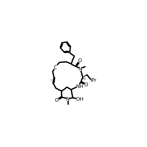 CC(C)C[C@H]1C(=O)NC2CC(C/C=C/CCCCC(Cc3ccccc3)C(=O)N1C)C(=O)N(C)C2O